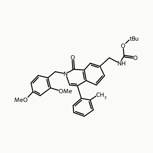 COc1ccc(Cn2cc(-c3ccccc3C)c3ccc(CNC(=O)OC(C)(C)C)cc3c2=O)c(OC)c1